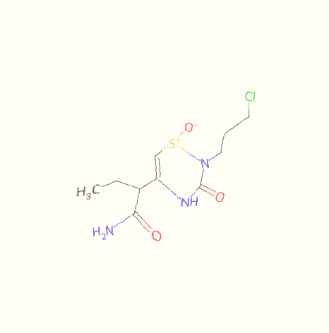 CCC(C(N)=O)C1=C[S+]([O-])N(CCCCl)C(=O)N1